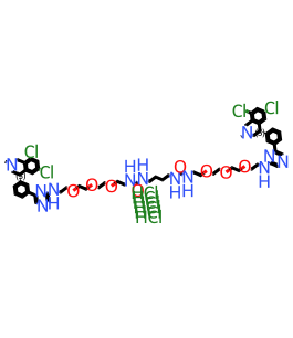 CN1Cc2c(Cl)cc(Cl)cc2[C@H](c2cccc(-c3cncc(NCCOCCOCCOCCNC(=O)NCCCCNC(=O)NCCOCCOCCOCCNc4cncc(-c5cccc([C@@H]6CN(C)Cc7c(Cl)cc(Cl)cc76)c5)n4)n3)c2)C1.Cl.Cl.Cl.Cl.Cl.Cl